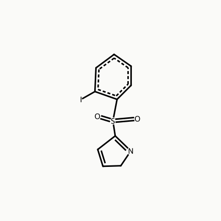 O=S(=O)(C1=NCC=C1)c1ccccc1I